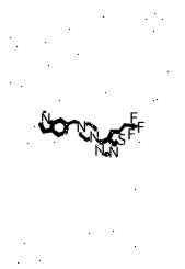 Cn1ccc2ccc(CN3CCN(c4ncnc5sc(CC(F)(F)F)cc45)CC3)cc21